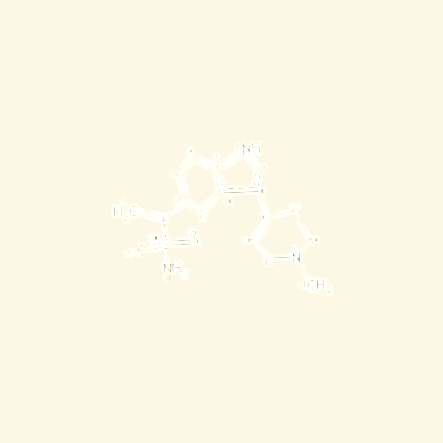 C=C(c1ccc2[nH]cc(C3=CCN(C)CC3)c2c1)S(N)(=O)=O